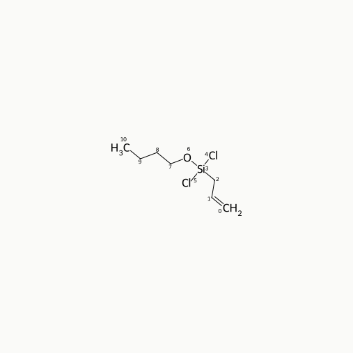 C=CC[Si](Cl)(Cl)OCCCC